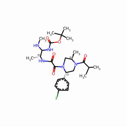 CNC(NC(=O)OC(C)(C)C)[C@@H](C)NC(=O)C(=O)N1C[C@@H](C)N(C(=O)C(C)C)C[C@@H]1c1ccc(F)cc1